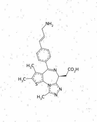 Cc1sc2c(c1C)C(c1ccc(/C=C/CN)cc1)=N[C@@H](CC(=O)O)c1nnc(C)n1-2